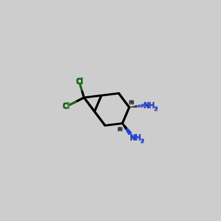 N[C@H]1CC2C(C[C@@H]1N)C2(Cl)Cl